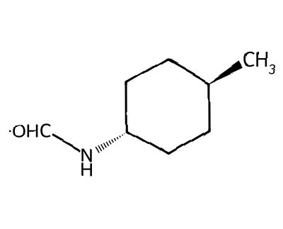 C[C@H]1CC[C@H](N[C]=O)CC1